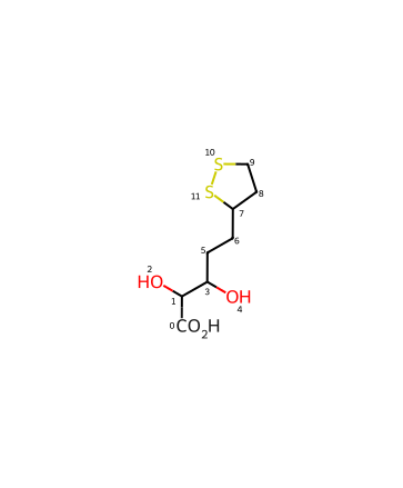 O=C(O)C(O)C(O)CCC1CCSS1